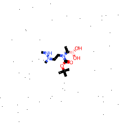 CNN(C)CCN(C(=O)OC(C)(C)C)C(C)B(O)O